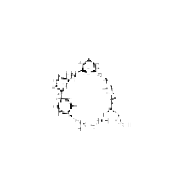 COCC1CNCCNc2ccc(cn2)-c2ccnc(n2)Nc2cccc(c2)CN2CCN1CC2